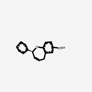 COc1ccc2c(c1)CC=C[C@@H](c1ccccc1)O2